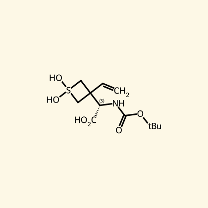 C=CC1([C@H](NC(=O)OC(C)(C)C)C(=O)O)CS(O)(O)C1